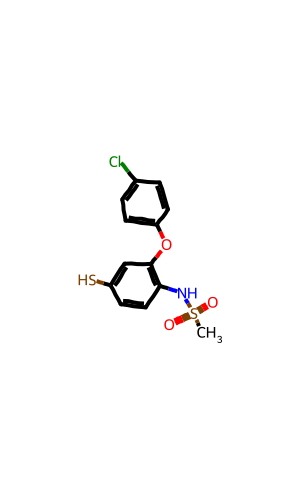 CS(=O)(=O)Nc1ccc(S)cc1Oc1ccc(Cl)cc1